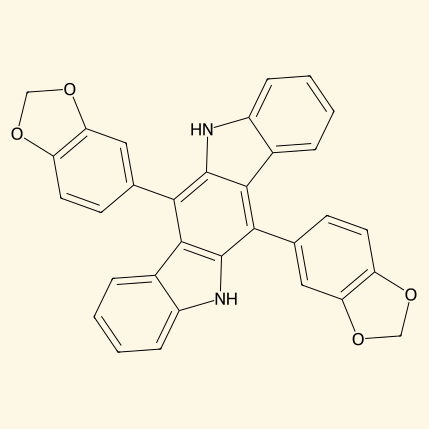 c1ccc2c(c1)[nH]c1c(-c3ccc4c(c3)OCO4)c3c([nH]c4ccccc43)c(-c3ccc4c(c3)OCO4)c12